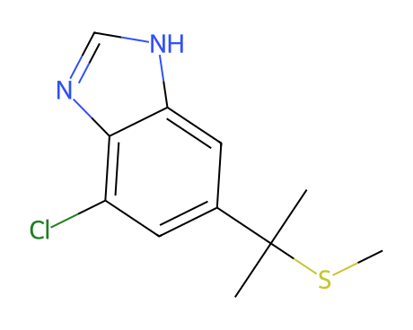 CSC(C)(C)c1cc(Cl)c2nc[nH]c2c1